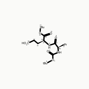 CC(C)[C@@H](NC(=O)OC(C)(C)C)C(=O)N[C@@H](CCC(=O)O)C(=O)OC(C)(C)C